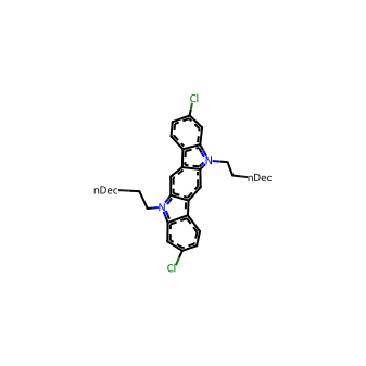 CCCCCCCCCCCCn1c2cc(Cl)ccc2c2cc3c(cc21)c1ccc(Cl)cc1n3CCCCCCCCCCCC